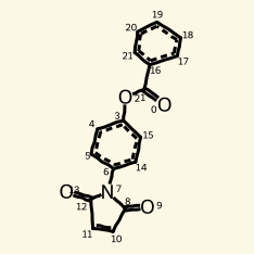 O=C(Oc1ccc(N2C(=O)C=CC2=O)cc1)c1ccccc1